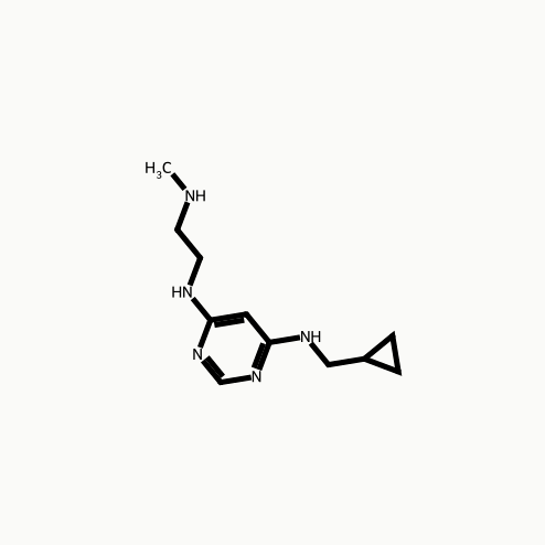 CNCCNc1cc(NCC2CC2)ncn1